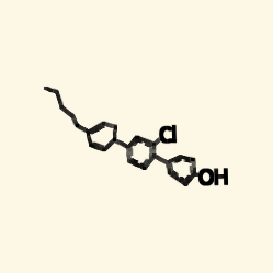 CCCCCC1=CCC(c2ccc(-c3ccc(O)cc3)c(Cl)c2)C=C1